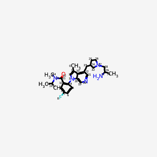 Cc1cn(-c2ccc(F)cc2C(=O)N(C)C(C)C)c2cncc(CC3CCN(CC(C)N)C3)c12